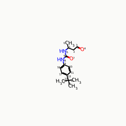 CC(CC=O)NC(=O)Nc1ccc(C(C)(C)C)cc1